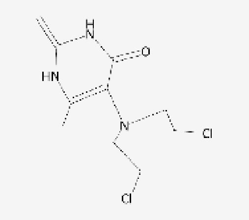 C=C1NC(=O)C(N(CCCl)CCCl)=C(C)N1